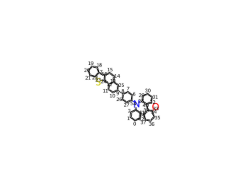 c1ccc(N(c2ccc(-c3ccc4c(ccc5c6ccccc6sc45)c3)cc2)c2cccc3oc4ccccc4c23)cc1